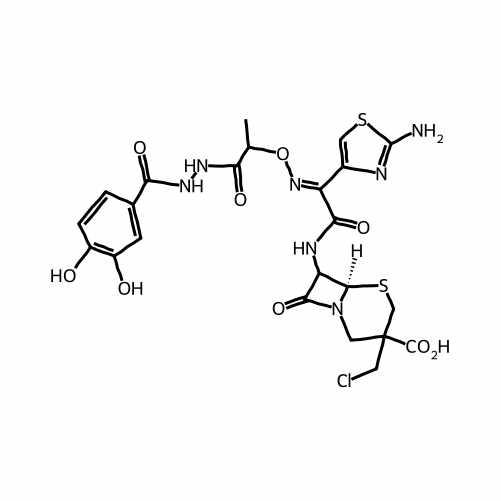 CC(ON=C(C(=O)NC1C(=O)N2CC(CCl)(C(=O)O)CS[C@H]12)c1csc(N)n1)C(=O)NNC(=O)c1ccc(O)c(O)c1